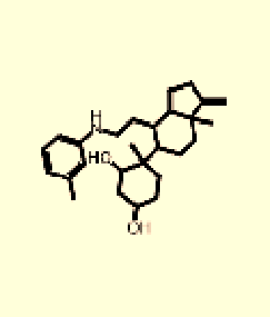 C=C1CCC2C(CCNc3cccc(C)c3)C(C3(C)CCC(O)CC3O)CCC12C